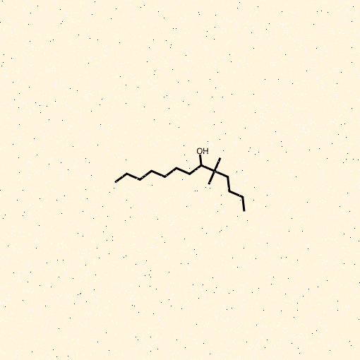 CCCCCCCC(O)C(C)(C)CCCC